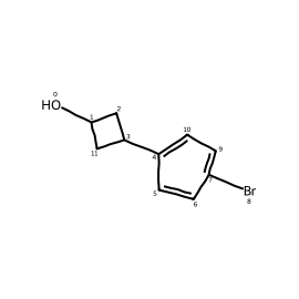 OC1CC(c2ccc(Br)cc2)C1